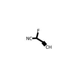 C#CC(F)C#N